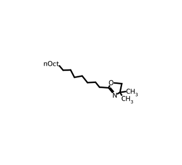 CCCCCCCCCCCCCCCC1=NC(C)(C)CO1